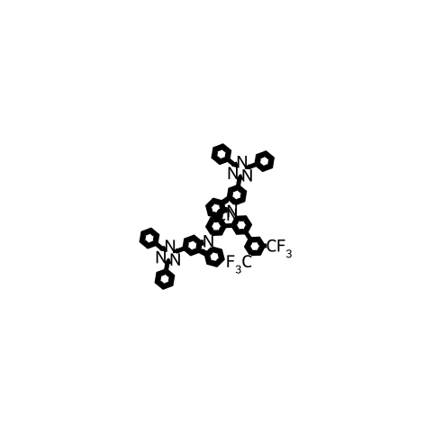 N#Cc1ccc(-n2c3ccccc3c3cc(-c4nc(-c5ccccc5)nc(-c5ccccc5)n4)ccc32)cc1-c1cc(-c2cc(C(F)(F)F)cc(C(F)(F)F)c2)ccc1-n1c2ccccc2c2cc(-c3nc(-c4ccccc4)nc(-c4ccccc4)n3)ccc21